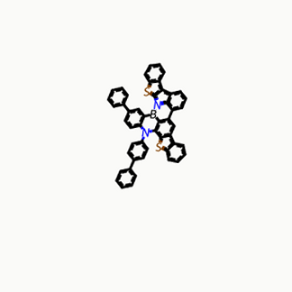 c1ccc(-c2ccc(N3c4ccc(-c5ccccc5)cc4B4c5c(cc6c(sc7ccccc76)c53)-c3cccc5c6c7ccccc7sc6n4c35)cc2)cc1